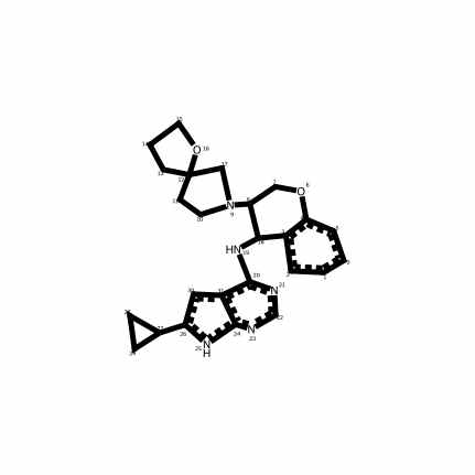 c1ccc2c(c1)OCC(N1CCC3(CCCO3)C1)C2Nc1ncnc2[nH]c(C3CC3)cc12